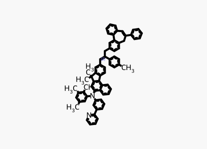 Cc1ccc(/C(=C\c2ccc3c(c2)C(C)(C)c2cc(N(c4cccc(-c5ccccn5)c4)c4cc(C)cc(C)c4C)c4ccccc4c2-3)Cc2ccc3c(c2)-c2ccccc2C=C(c2ccccc2)C3)cc1